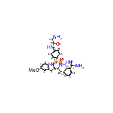 COc1ccc2c(c1)CC([C@H](Cc1cccc(C(=N)N)c1)NS(=O)(=O)c1ccc(NC(=O)CN)cc1)=N2